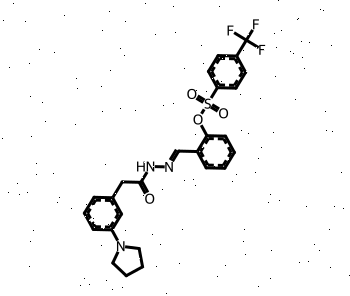 O=C(Cc1cccc(N2CCCC2)c1)N/N=C/c1ccccc1OS(=O)(=O)c1ccc(C(F)(F)F)cc1